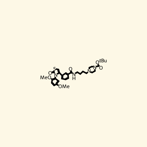 COc1ccc(OC)c(-n2c(-c3cccc(C(=O)NCCCCN4CCN(C(=O)OC(C)(C)C)CC4)c3)csc2=O)c1